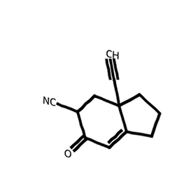 C#CC12CCCC1=CC(=O)C(C#N)C2